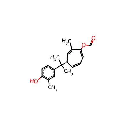 CC1=C[C@H](C(C)(C)c2ccc(O)c(C)c2)C=CC=C1OC=O